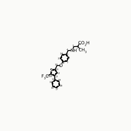 CC(CNCc1ccc(OCc2cc(-c3ccccc3)c(C(F)(F)F)s2)cc1)C(=O)O